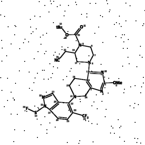 COc1nc2c(c(N3CCN(C(=O)OC(C)(C)C)C(CC#N)C3)n1)CCN(c1c(C(F)(F)F)ccc3c1cnn3SF)C2